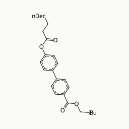 CCCCCCCCCCCCC(=O)Oc1ccc(-c2ccc(C(=O)OCC(C)CC)cc2)cc1